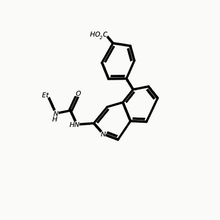 CCNC(=O)Nc1cc2c(-c3ccc(C(=O)O)cc3)cccc2cn1